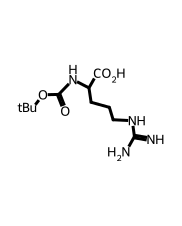 CC(C)(C)OC(=O)NC(CCCNC(=N)N)C(=O)O